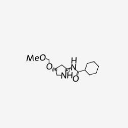 COCO[C@H]1CN[C@H](NC(=O)C2CCCCC2)C1